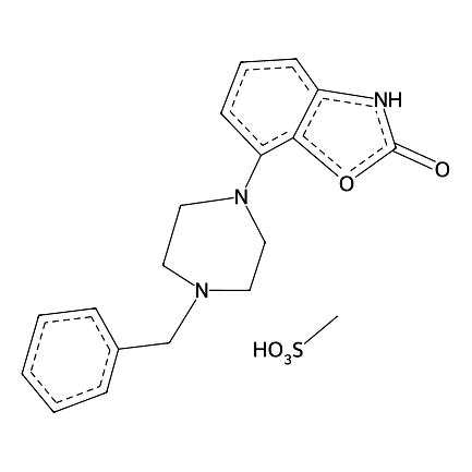 CS(=O)(=O)O.O=c1[nH]c2cccc(N3CCN(Cc4ccccc4)CC3)c2o1